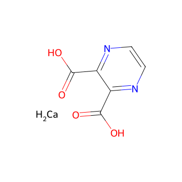 O=C(O)c1nccnc1C(=O)O.[CaH2]